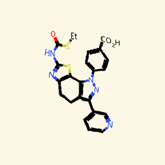 CCSC(=O)Nc1nc2c(s1)-c1c(c(-c3cccnc3)nn1-c1ccc(C(=O)O)cc1)CC2